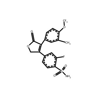 Cc1cc(C2=C(c3ccc(S(N)(=O)=O)c(F)c3)COC2=O)ccc1OC(F)(F)F